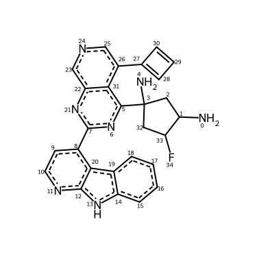 NC1CC(N)(c2nc(-c3ccnc4[nH]c5ccccc5c34)nc3cncc(C4=CC=C4)c23)CC1F